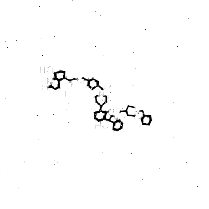 O=C(c1ccc(CNC[C@H](O)c2ccc(O)c3[nH]c(=O)ccc23)cc1)N1CCC(c2cccc(C(O)(C(=O)OCC3CCN(Cc4ccccc4)CC3)c3ccccc3)c2)CC1